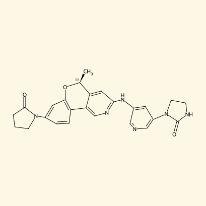 C[C@@H]1Oc2cc(N3CCCC3=O)ccc2-c2cnc(Nc3cncc(N4CCNC4=O)c3)cc21